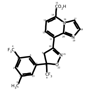 Cc1cc(C(F)(F)F)cc(C2(C(F)(F)F)CC(c3ccc(C(=O)O)n4ccnc34)=NO2)c1